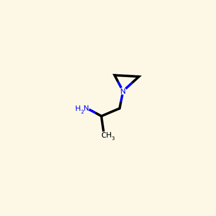 CC(N)CN1CC1